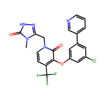 Cn1c(Cn2ccc(C(F)(F)F)c(Oc3cc(Cl)cc(-c4cccnc4)c3)c2=O)n[nH]c1=O